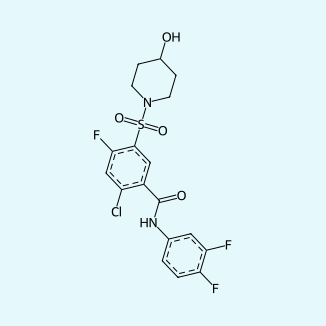 O=C(Nc1ccc(F)c(F)c1)c1cc(S(=O)(=O)N2CCC(O)CC2)c(F)cc1Cl